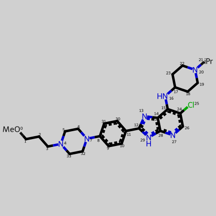 COCCCN1CCN(c2ccc(-c3nc4c(NC5CCN(C(C)C)CC5)c(Cl)cnc4[nH]3)cc2)CC1